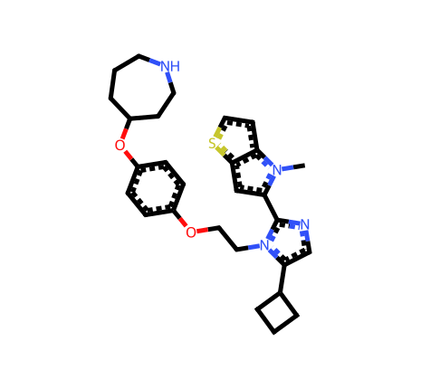 Cn1c(-c2ncc(C3CCC3)n2CCOc2ccc(OC3CCCNCC3)cc2)cc2sccc21